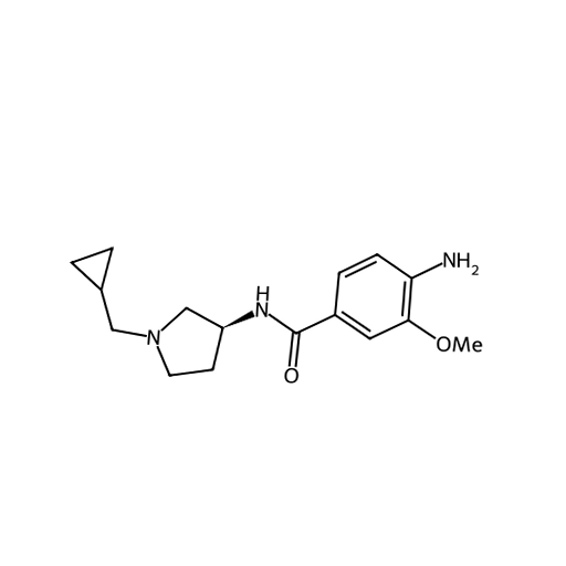 COc1cc(C(=O)N[C@H]2CCN(CC3CC3)C2)ccc1N